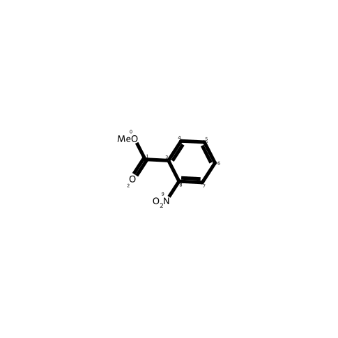 COC(=O)c1c[c]ccc1[N+](=O)[O-]